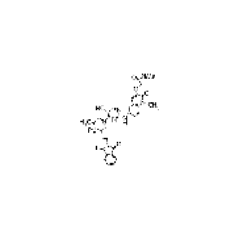 CNC(=O)COc1cc2cc(Nc3ncc(C#N)c(N4CC(C)C(F)(F)C(CCN5C(=O)c6ccccc6C5=O)C4)n3)ccc2n(C)c1=O